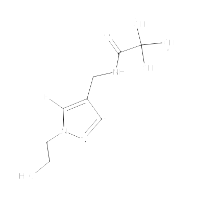 CCCn1ncc(CNC(=O)C(C)(C)C)c1F